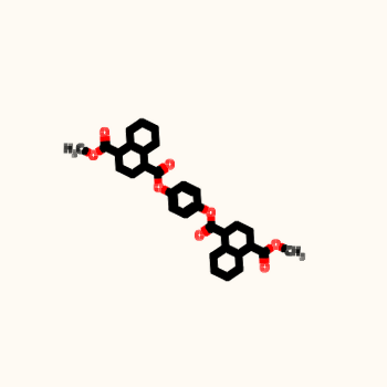 COC(=O)C1CCC(C(=O)Oc2ccc(OC(=O)C3CCC(C(=O)OC)C4CCCCC34)cc2)C2CCCCC12